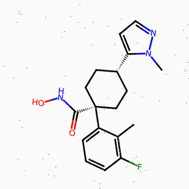 Cc1c(F)cccc1[C@]1(C(=O)NO)CC[C@@H](c2ccnn2C)CC1